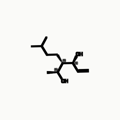 C=C[C@H](O)[C@@H](CCC(C)C)[C@H](C)O